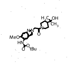 COc1cc2nn(CC(=O)N3CCC(C(C)(C)O)CC3)cc2cc1NC(=O)OC(C)(C)C